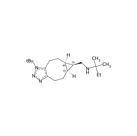 CCC(C)(C)NC[C@@H]1[C@@H]2CCc3c(nnn3C(C)(C)C)CC[C@@H]21